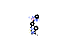 CN1Cc2ccccc2N(Cc2ccc(C(=O)Nc3ccccc3N)cc2)C1=S